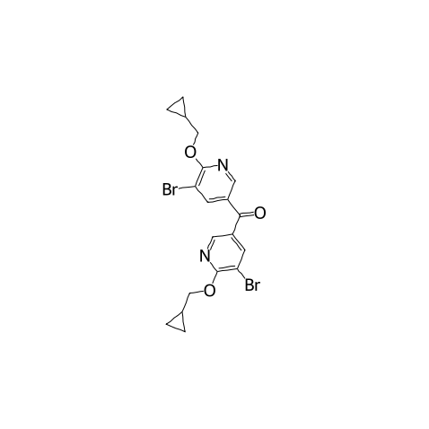 O=C(c1cnc(OCC2CC2)c(Br)c1)c1cnc(OCC2CC2)c(Br)c1